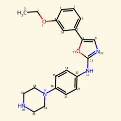 CCOc1cccc(-c2cnc(Nc3ccc(N4CCNCC4)cc3)o2)c1